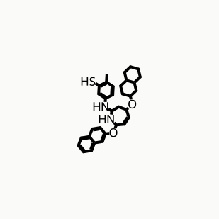 Cc1ccc(NC2CC(OC3CCC4CCCCC4C3)C=CC(Oc3ccc4ccccc4c3)N2)cc1S